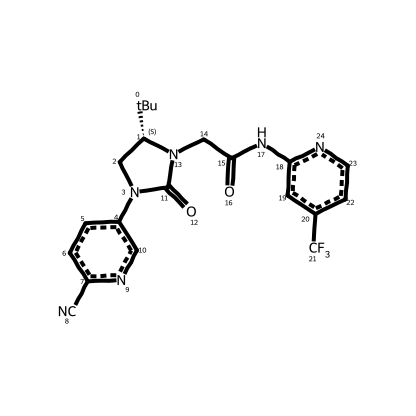 CC(C)(C)[C@H]1CN(c2ccc(C#N)nc2)C(=O)N1CC(=O)Nc1cc(C(F)(F)F)ccn1